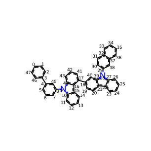 c1ccc(-c2cccc(-n3c4ccccc4c4c(-c5ccc6c7ccccc7n(-c7ccc8ccccc8c7)c6c5)cccc43)c2)cc1